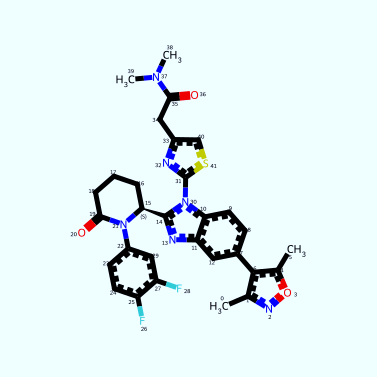 Cc1noc(C)c1-c1ccc2c(c1)nc([C@@H]1CCCC(=O)N1c1ccc(F)c(F)c1)n2-c1nc(CC(=O)N(C)C)cs1